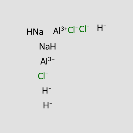 [Al+3].[Al+3].[Cl-].[Cl-].[Cl-].[H-].[H-].[H-].[NaH].[NaH]